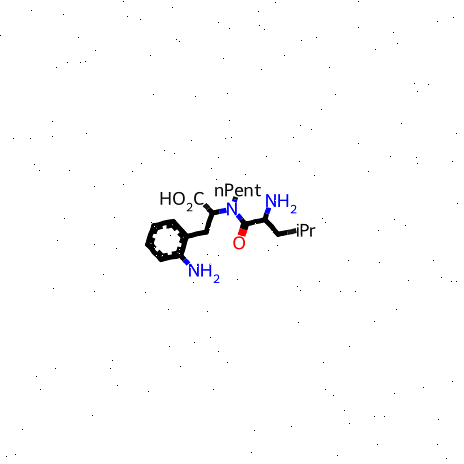 CCCCCN(C(=O)C(N)CC(C)C)C(Cc1ccccc1N)C(=O)O